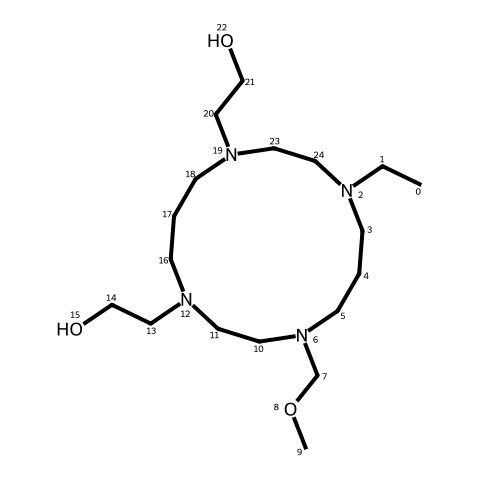 CCN1CCCN(COC)CCN(CCO)CCCN(CCO)CC1